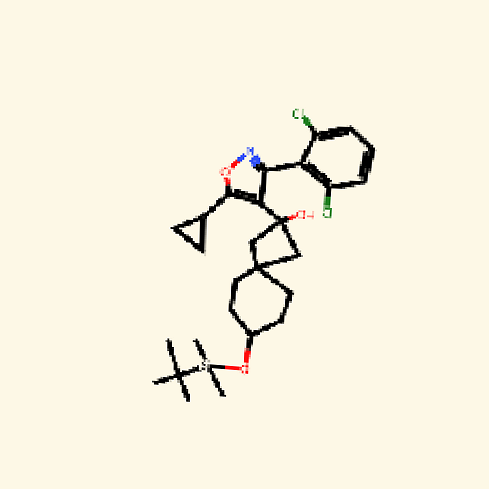 CC(C)(C)[Si](C)(C)OC1CCC2(CC1)CC(O)(c1c(-c3c(Cl)cccc3Cl)noc1C1CC1)C2